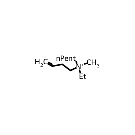 C=CCC[N+](C)(CC)CCCCC